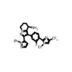 CCn1cc(C(F)(F)F)nc1-c1ccc(-c2c(-c3ccnn3C(C)C)nn3c2C(N)CCC3)cc1F